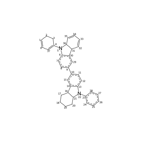 C1=CCCC(N2c3ccc(-c4ccc5c(c4)C4CCCCC4N5c4ccccc4)cc3C3C=CC=CC32)=C1